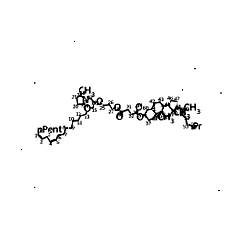 CCCCC/C=C\C/C=C\CCCCCCCCOC[C@@H](CN1CCCC1C)OCCCOC(=O)CCC(=O)OC1CC[C@@]2(C)C(=CCC3C4CC[C@H]([C@H](C)CCCC(C)C)C4(C)CCC32)C1